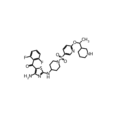 C[C@H](Oc1ccc(S(=O)(=O)N2CCC(Nc3nc(N)c(C(=O)c4c(F)cccc4F)s3)CC2)cn1)C1CCCNC1